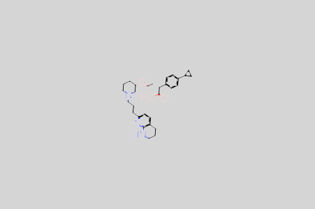 O=C(O)[C@H](CCO[C@@H]1CCCN(CCCc2ccc3c(n2)NCCC3)C1)c1ccc(C2CC2)cc1